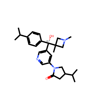 CC(C)c1ccc([C@](O)(c2cncc(N3CC(C(C)C)CC3=O)c2)C2(C)CN(C)C2)cc1